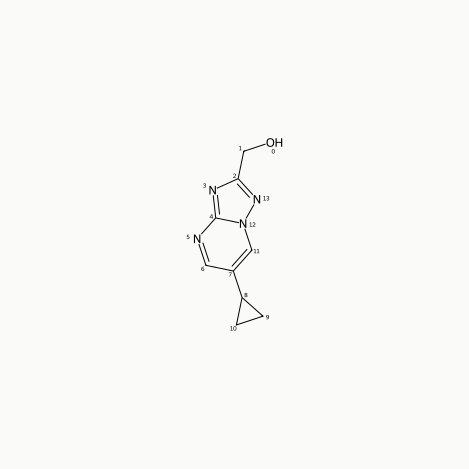 OCc1nc2ncc(C3CC3)cn2n1